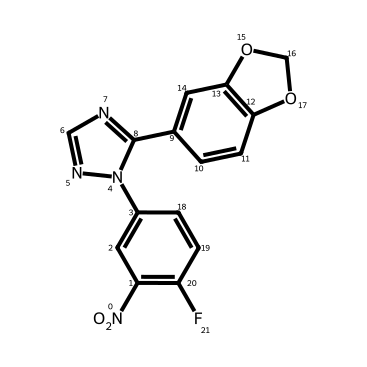 O=[N+]([O-])c1cc(-n2ncnc2-c2ccc3c(c2)OCO3)ccc1F